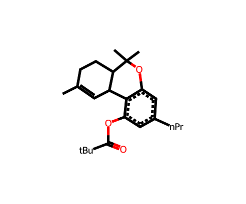 CCCc1cc(OC(=O)C(C)(C)C)c2c(c1)OC(C)(C)C1CCC(C)=CC21